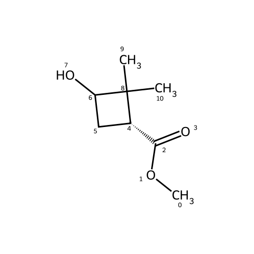 COC(=O)[C@@H]1CC(O)C1(C)C